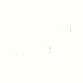 N#Cc1ccc(NC(=O)COCC(=O)O)cc1Cl